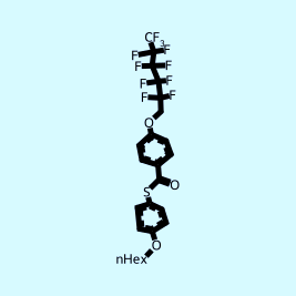 CCCCCCOc1ccc(SC(=O)c2ccc(OCC(F)(F)C(F)(F)C(F)(F)C(F)(F)C(F)(F)F)cc2)cc1